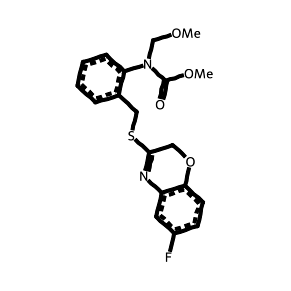 COCN(C(=O)OC)c1ccccc1CSC1=Nc2cc(F)ccc2OC1